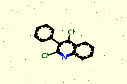 Clc1nc2[c]cccc2c(Cl)c1-c1ccccc1